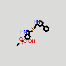 CCOC(=O)Oc1cc2[nH]cc(CSCCC3CC(c4ccccc4)=CCN3)c2cc1O